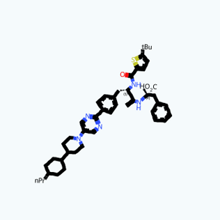 C=C(N[C@H](Cc1ccccc1)C(=O)O)[C@H](Cc1ccc(-c2ncc(N3CCC(C4CCC(CCC)CC4)CC3)cn2)cc1)NC(=O)c1ccc(C(C)(C)C)s1